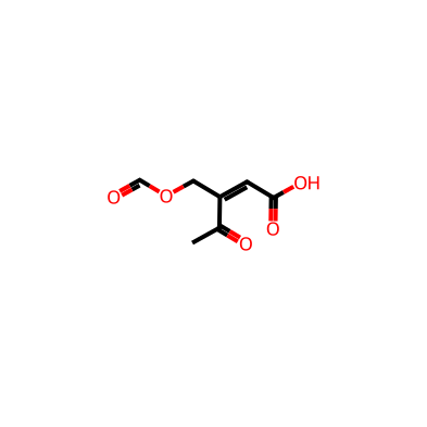 CC(=O)/C(=C\C(=O)O)COC=O